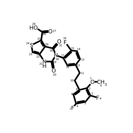 COc1c(F)cc(F)cc1CCc1ccc(F)c(-n2c(=O)[nH]c3csc(C(=O)O)c3c2=O)c1